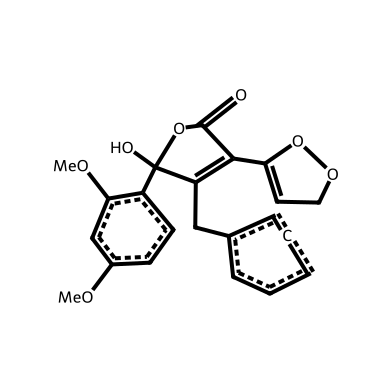 COc1ccc(C2(O)OC(=O)C(C3=CCOO3)=C2Cc2ccccc2)c(OC)c1